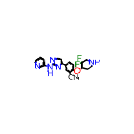 N#Cc1cc(-c2ccnc(Nc3cccnc3)n2)ccc1OC1CCNCC1(F)F